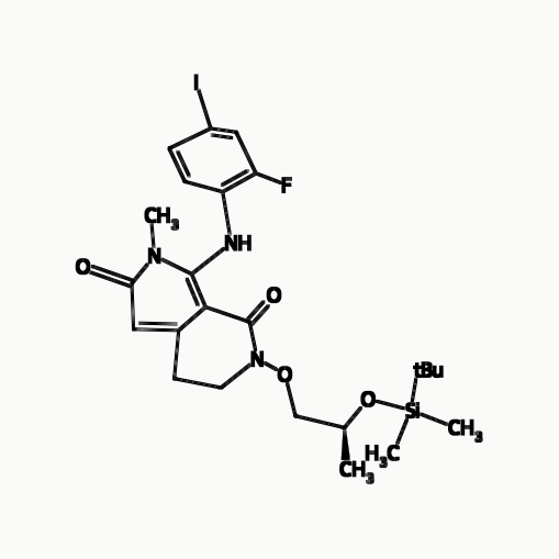 C[C@@H](CON1CCc2cc(=O)n(C)c(Nc3ccc(I)cc3F)c2C1=O)O[Si](C)(C)C(C)(C)C